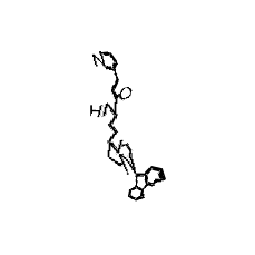 O=C(C=Cc1cccnc1)NCCCCN1CCN(C2c3ccccc3-c3ccccc32)CC1